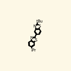 CC(C)c1ccc2nc(-c3ccc4sc(C(C)(C)C)nc4c3)sc2c1